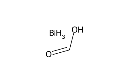 O=CO.[BiH3]